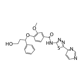 COc1cc(C(=O)Nc2nnc(-c3ccncn3)s2)ccc1OC(CCO)c1ccccc1